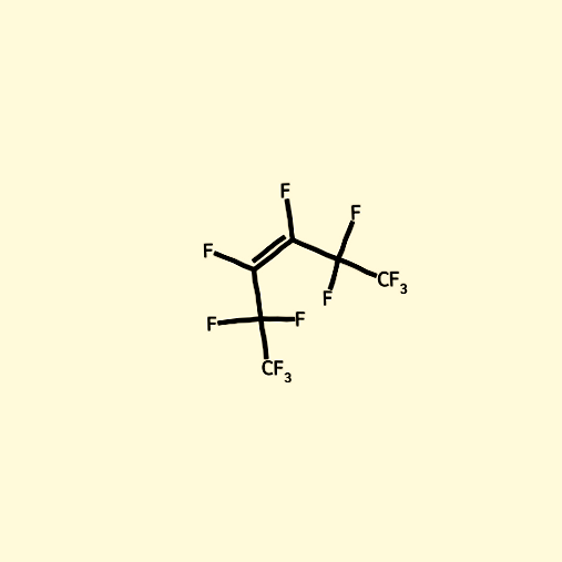 F/C(=C(\F)C(F)(F)C(F)(F)F)C(F)(F)C(F)(F)F